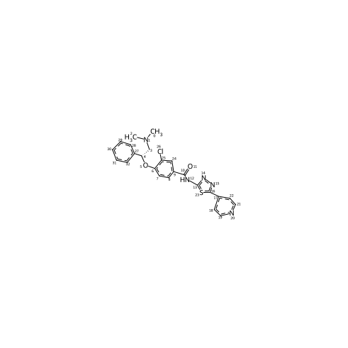 CN(C)C[C@H](Oc1ccc(C(=O)Nc2nnc(-c3ccncc3)s2)cc1Cl)c1ccccc1